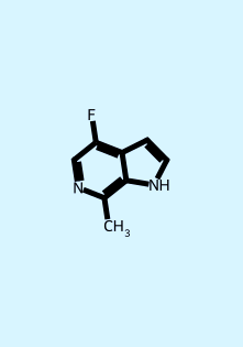 Cc1ncc(F)c2cc[nH]c12